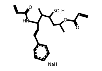 C=CC(=O)NC(C=Cc1ccccc1)C(C)C(CC(C)OC(=O)C=C)S(=O)(=O)O.[NaH]